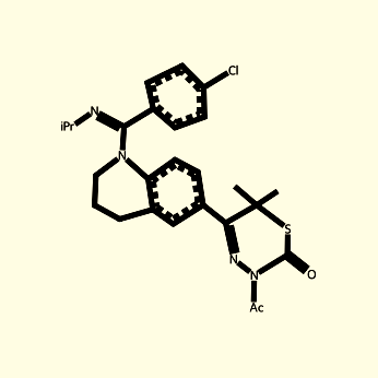 CC(=O)N1N=C(c2ccc3c(c2)CCCN3/C(=N\C(C)C)c2ccc(Cl)cc2)C(C)(C)SC1=O